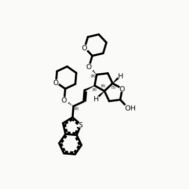 OC1C[C@@H]2[C@@H](C=C[C@@H](OC3CCCCO3)c3cc4ccccc4s3)[C@H](OC3CCCCO3)C[C@@H]2O1